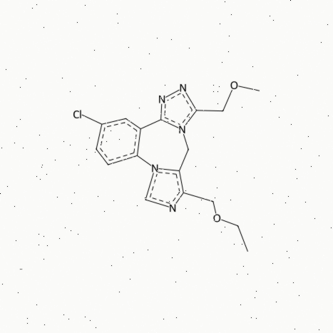 CCOCc1ncn2c1Cn1c(COC)nnc1-c1cc(Cl)ccc1-2